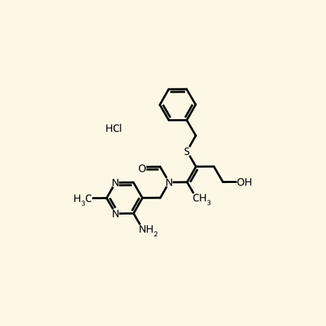 C/C(=C(\CCO)SCc1ccccc1)N(C=O)Cc1cnc(C)nc1N.Cl